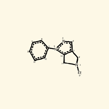 CCN1Cc2cnn(-c3ccccc3)c2C1